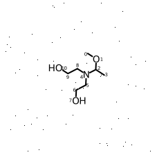 COC(C)N(CCO)CCO